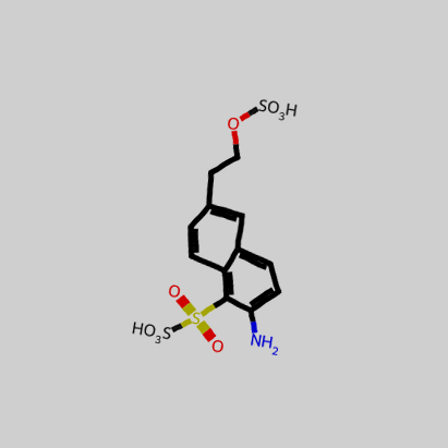 Nc1ccc2cc(CCOS(=O)(=O)O)ccc2c1S(=O)(=O)S(=O)(=O)O